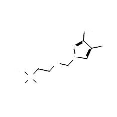 Cc1nn(COCC[Si](C)(C)C)cc1I